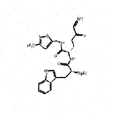 CC(=O)N[C@@H](Cc1c[nH]c2ccccc12)C(=O)N[C@@H](CCC(=O)C=N)C(=O)Nc1cc(C)ns1